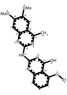 CCOc1cccc2nc(Nc3nc(C)c4cc(OC)c(OC)cc4n3)nc(O)c12